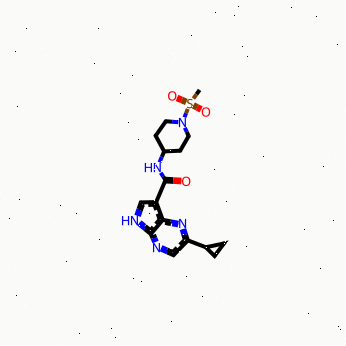 CS(=O)(=O)N1CCC(NC(=O)c2c[nH]c3ncc(C4CC4)nc23)CC1